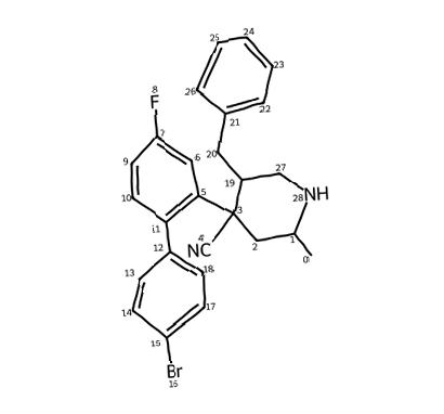 CC1CC(C#N)(c2cc(F)ccc2-c2ccc(Br)cc2)C(Cc2ccccc2)CN1